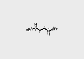 CCCCNCCNCCC